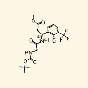 COC(=O)C[C@H](NC(=O)CNC(=O)OC(C)(C)C)c1cccc(C(F)(F)F)c1Cl